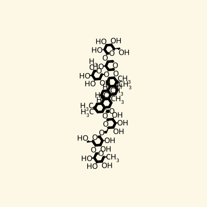 C[C@@H]1O[C@@H](O[C@H]2[C@H](O[C@H]3CC[C@]4(C)[C@H]5CC=C6[C@@H]7CC(C)(C)CC[C@]7(C(=O)O[C@@H]7O[C@H](CO[C@@H]8O[C@H](CO)[C@@H](O[C@@H]9O[C@@H](C)[C@H](O)[C@@H](O)[C@H]9O)[C@H](O)[C@H]8O)[C@@H](O)[C@H](O)[C@H]7O)CC[C@@]6(C)[C@]5(C)CC[C@H]4C3(C)C)OC[C@H](O[C@@H]3O[C@H](CO)[C@@H](O)[C@H](O)[C@H]3O)[C@@H]2O)[C@H](O)[C@H](O)[C@H]1O